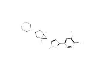 CC(C)n1nc(-c2cnc(N)c(OC(F)(F)F)c2)cc1[C@@H]1[C@@H]2C[C@H](N3CCOCC3)C[C@@H]21